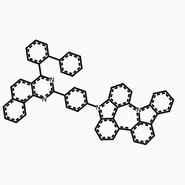 c1ccc(-c2ccccc2-c2nc(-c3ccc(-n4c5cccc6c7cccc8c9ccccc9n(c9cccc4c9c65)c78)cc3)nc3c2ccc2ccccc23)cc1